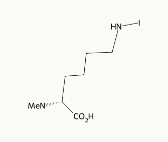 CN[C@H](CCCCNI)C(=O)O